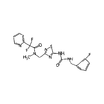 CN(Cc1nsc(NC(=O)NCc2cccc(F)c2)n1)C(=O)C(F)(F)c1ccccn1